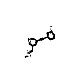 CON=Cc1cncc(C#Cc2cccc(F)c2)c1